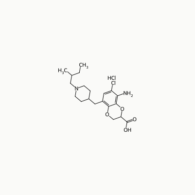 CCC(C)CN1CCC(Cc2cc(Cl)c(N)c3c2OCC(C(=O)O)O3)CC1.Cl